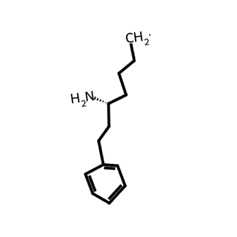 [CH2]CCC[C@@H](N)CCc1ccccc1